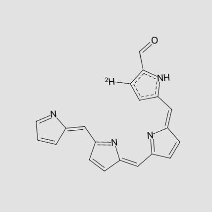 [2H]c1cc(C=C2C=CC(C=C3C=CC(C=C4C=CC=N4)=N3)=N2)[nH]c1C=O